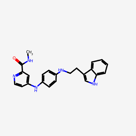 CNC(=O)c1cc(Nc2ccc(NCCc3c[nH]c4ccccc34)cc2)ccn1